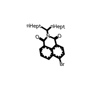 CCCCCCCC(CCCCCCC)N1C(=O)c2cccc3c(Br)ccc(c23)C1=O